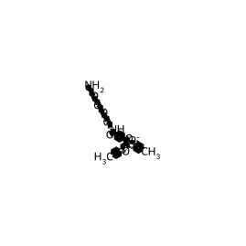 Cc1ccc([S+]([O-])CC(C[S+]([O-])c2ccc(C)cc2)C(=O)c2ccc(C(=O)NCCOCCOCCOCCOCCCN)cc2)cc1